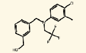 Cc1cc(N(Cc2cccc(CO)c2)CC(F)(F)F)ccc1Cl